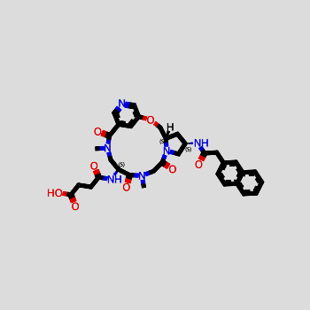 CN1C[C@H](NC(=O)CCC(=O)O)C(=O)N(C)CC(=O)N2C[C@@H](NC(=O)Cc3ccc4ccccc4c3)C[C@H]2COc2cncc(c2)C1=O